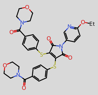 CCOc1ccc(N2C(=O)C(Sc3ccc(C(=O)N4CCOCC4)cc3)=C(Sc3ccc(C(=O)N4CCOCC4)cc3)C2=O)cn1